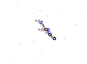 COc1cc2c(Nc3ccc(-c4nc5ccccc5s4)c(F)c3)ncnc2cc1OCCCN1CCN(C)CC1